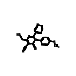 CSc1ccc(-n2c(-c3cccnc3)nc(CS)c(C#N)c2=O)cc1